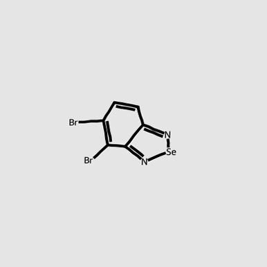 Brc1ccc2n[se]nc2c1Br